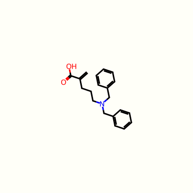 C=C(CCCN(Cc1ccccc1)Cc1ccccc1)C(=O)O